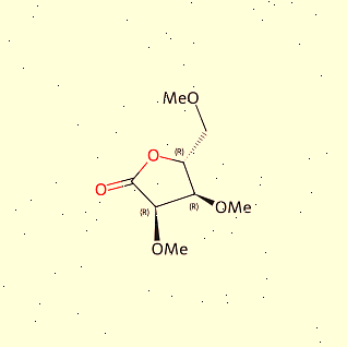 COC[C@H]1OC(=O)[C@H](OC)[C@@H]1OC